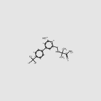 CC(C)(NCc1cc(-c2ccc(C(F)(F)F)cc2)ccn1)C(N)=O.Cl